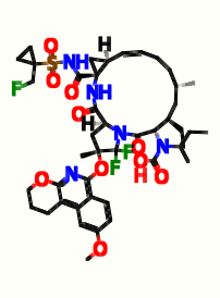 CCC(C)N(C(=O)O)[C@@H]1C(=O)N2[C@@H](C[C@@](C)(Oc3nc4c(c5cc(OC)ccc35)CCCO4)C2(F)F)C(=O)N[C@]2(C(=O)NS(=O)(=O)C3(CF)CC3)C[C@H]2/C=C\CC[C@H](C)C[C@H]1CC